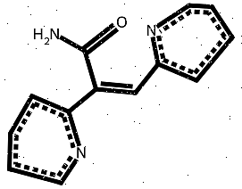 NC(=O)C(=Cc1ccccn1)c1ccccn1